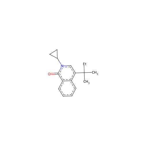 CCC(C)(C)c1cn(C2CC2)c(=O)c2ccccc12